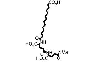 CNC(=O)CC[C@H](NC(=O)CC[C@H](NC(=O)CCCCCCCCCCCCC(=O)O)C(=O)O)C(=O)O